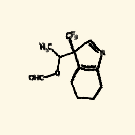 CC(OC=O)C1(C(F)(F)F)C=NC2=C1CCCC2